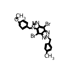 COc1ccc(Cn2nnc3c(Br)c4nn(Cc5ccc(C)cc5)nc4c(Br)c32)cc1